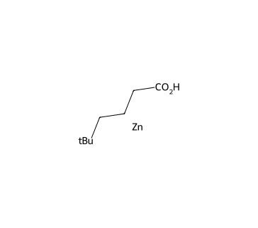 CC(C)(C)CCCC(=O)O.[Zn]